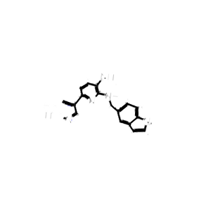 C/C=C(\C=N/C)c1ccc(N)c(NCc2ccc3[nH]ccc3c2)n1